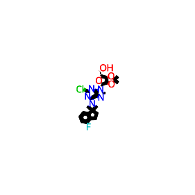 CC1(C)OC2C(O1)[C@@H](CO)O[C@H]2n1cnc2c(N3CC4(CCc5c(F)cccc54)C3)nc(Cl)nc21